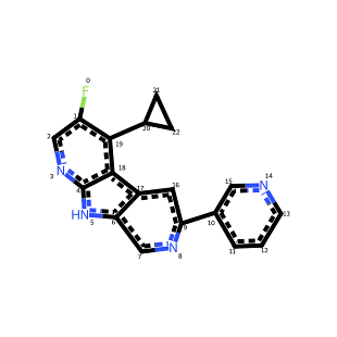 Fc1cnc2[nH]c3cnc(-c4cccnc4)cc3c2c1C1CC1